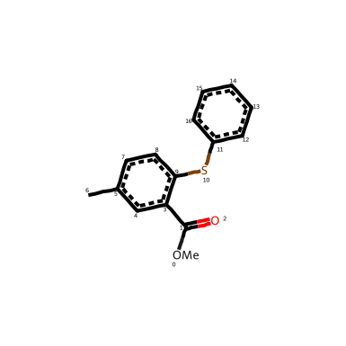 COC(=O)c1cc(C)ccc1Sc1ccccc1